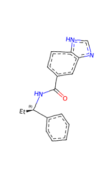 CC[C@@H](NC(=O)c1ccc2[nH]cnc2c1)c1ccccc1